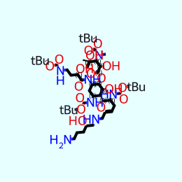 CN(C(=O)OC(C)(C)C)[C@@H]1[C@@H](O)[C@@H](O[C@H]2[C@H](NC(=O)[C@@H](O)CCNC(=O)OC(C)(C)C)C[C@H](NC(=O)OC(C)(C)C)C([C@H]3OC(CNCC(O)CCCN)=CC[C@H]3NC(=O)OC(C)(C)C)[C@@H]2O)OC[C@]1(C)O